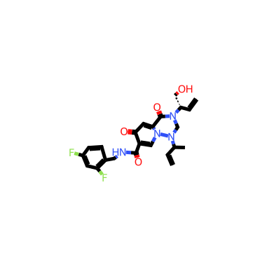 C=CC(C)N1CN([C@@H](C=C)CO)C(=O)c2cc(=O)c(C(=O)NCc3ccc(F)cc3F)cn21